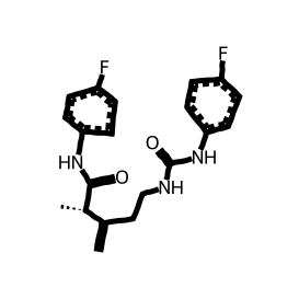 C=C(CCNC(=O)Nc1ccc(F)cc1)[C@H](C)C(=O)Nc1ccc(F)cc1